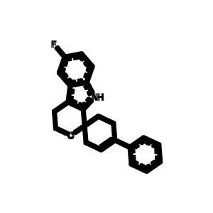 Fc1ccc2[nH]c3c(c2c1)CCOC31CC=C(c2ccccc2)CC1